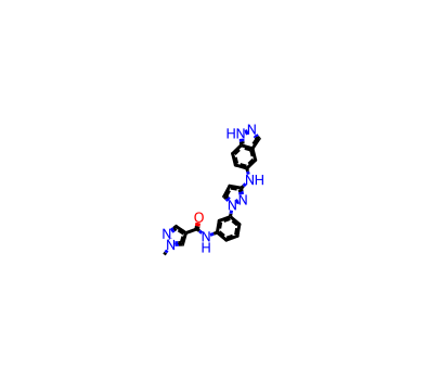 Cn1cc(C(=O)Nc2cccc(-n3ccc(Nc4ccc5[nH]ncc5c4)n3)c2)cn1